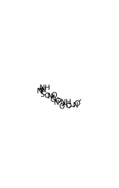 CC1CCN(Cc2ccc(C(=O)Nc3ccc(OC(=O)N4CCC(Sc5nc[nH]n5)CC4)nc3)cc2)CC1